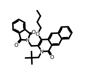 CCCCOc1c(CN2C(=O)c3ccccc3C2=O)n(CC(C)(C)C)c(=O)c2cc3ccccc3cc12